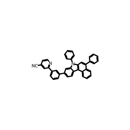 N#Cc1ccnc(-c2cccc(-c3ccc4c5c6ccccc6c(-c6ccccc6)cc5n(-c5ccccc5)c4c3)c2)c1